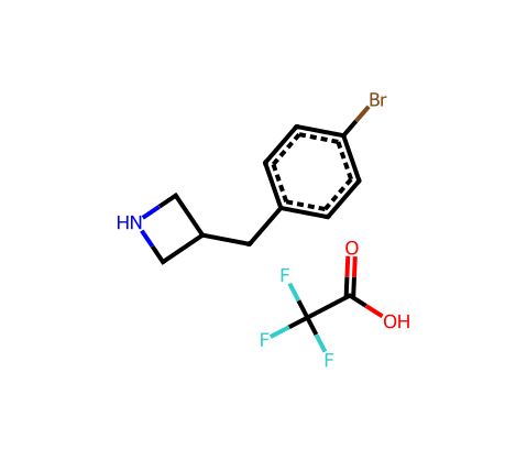 Brc1ccc(CC2CNC2)cc1.O=C(O)C(F)(F)F